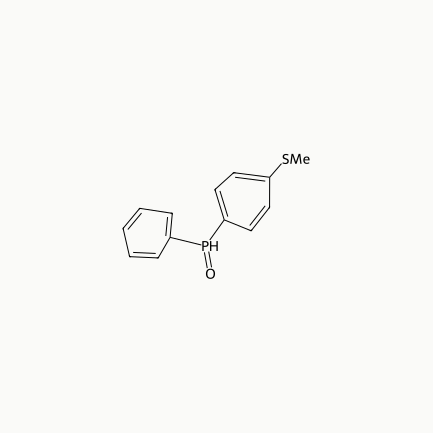 CSc1ccc([PH](=O)c2ccccc2)cc1